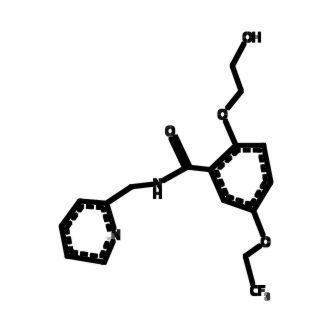 O=C(NCc1ccccn1)c1cc(OCC(F)(F)F)ccc1OCCO